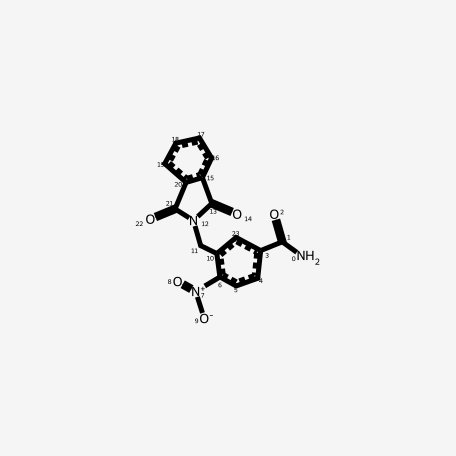 NC(=O)c1ccc([N+](=O)[O-])c(CN2C(=O)c3ccccc3C2=O)c1